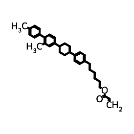 C=CC(=O)OCCCCCCc1ccc(C2CCC(c3ccc(-c4ccc(C)cc4)c(C)c3)CC2)cc1